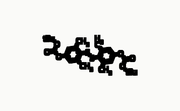 Cc1cc(OC(=O)OC(C)(C)C)cc(C)c1SSc1c(C)cc(OC(=O)OC(C)(C)C)cc1C